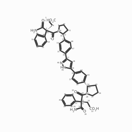 NC(=O)[C@@](CC(=O)O)(C(=O)N1CCC[C@H]1c1ccc(-c2cc(-c3ccc([C@@H]4CCCN4C(=O)[C@](CC(=O)O)(C(N)=O)c4ccccc4)cc3)[nH]n2)cc1)c1ccccc1